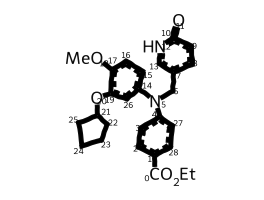 CCOC(=O)c1ccc(N(Cc2ccc(=O)[nH]c2)c2ccc(OC)c(OC3CCCC3)c2)cc1